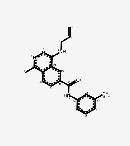 C=CCNc1nnc(C)c2ccc(C(=O)Nc3cccc(C(F)(F)F)c3)cc12